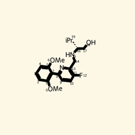 COc1cccc(OC)c1-c1ccc(F)c(CN[C@@H](CO)C(C)C)n1